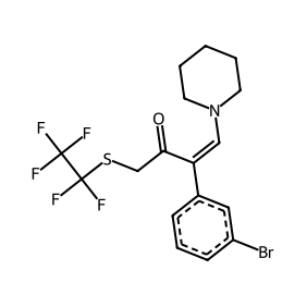 O=C(CSC(F)(F)C(F)(F)F)C(=CN1CCCCC1)c1cccc(Br)c1